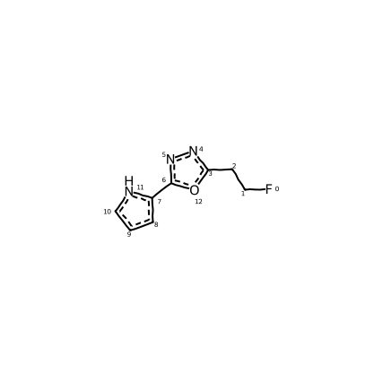 FCCc1nnc(-c2ccc[nH]2)o1